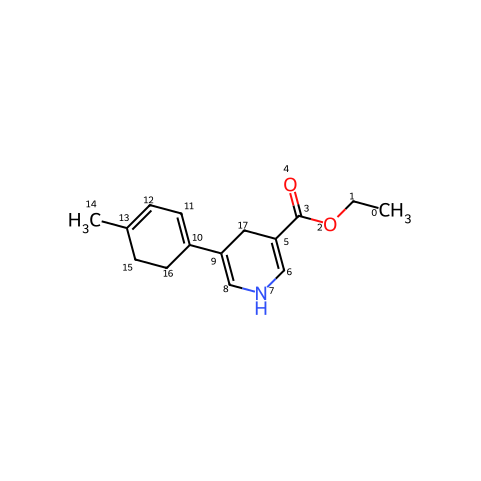 CCOC(=O)C1=CNC=C(C2=CC=C(C)CC2)C1